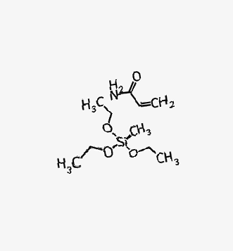 C=CC(N)=O.CCO[Si](C)(OCC)OCC